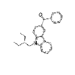 CCC(CC)Cn1c2ccccc2c2cc(C(=O)c3ccccc3)ccc21